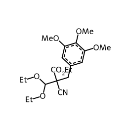 CCOC(=O)C(C#N)(Cc1cc(OC)c(OC)c(OC)c1)C(OCC)OCC